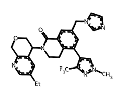 CCc1cnc2c(c1)C(N1CCc3c(cc(Cn4ccnc4)cc3-c3cn(C)nc3C(F)(F)F)C1=O)COC2